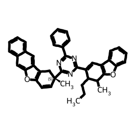 CCCC1C(c2nc(-c3ccccc3)nc([C@]3(C)C=Cc4oc5cc6ccccc6cc5c4C3)n2)=Cc2c(oc3ccccc23)C1C